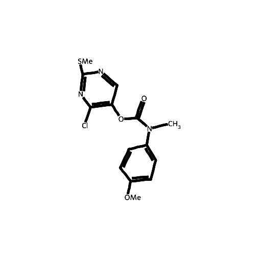 COc1ccc(N(C)C(=O)Oc2cnc(SC)nc2Cl)cc1